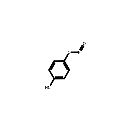 N#Cc1ccc(OP=O)cc1